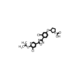 CC(C)Oc1ncc(-c2nc(-c3ccc(OC4CC[C@H](C(=O)O)C4)cc3Cl)no2)cc1Cl